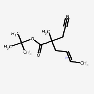 C/C=C/CC(C)(CC#N)C(=O)OC(C)(C)C